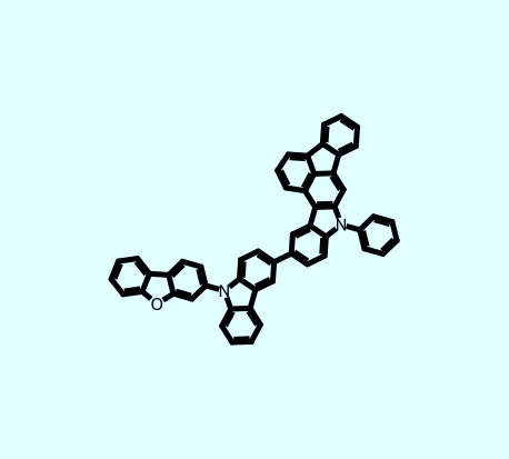 c1ccc(-n2c3ccc(-c4ccc5c(c4)c4ccccc4n5-c4ccc5c(c4)oc4ccccc45)cc3c3c4cccc5c4c(cc32)-c2ccccc2-5)cc1